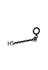 SCCCCCCCCCCCCCC/N=N\CSC1CCCCCCCCCC1